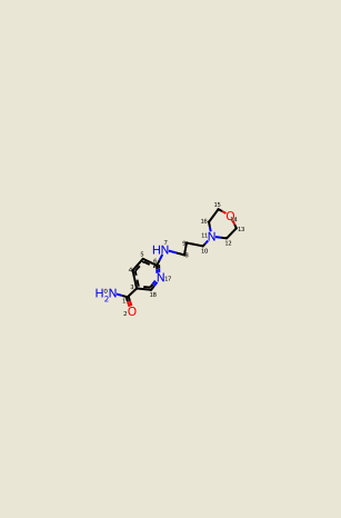 NC(=O)c1ccc(NCCCN2CCOCC2)nc1